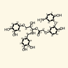 Nc1ccc(O)c(Oc2cc(OCC(=O)OC(NCc3ccc(O)c(O)c3)C(O)COc3ccc(O)c(O)c3)ccc2O)c1